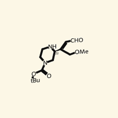 COCC(=CC=O)[C@H]1CN(C(=O)OC(C)(C)C)CCN1